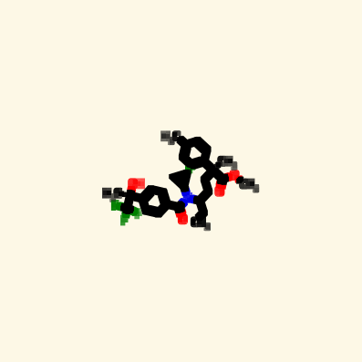 CCC(CC[C@](C)(C(=O)OC)c1ccc(C)cc1F)N(C(=O)c1ccc([C@](C)(O)C(F)(F)F)cc1)C1CC1